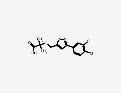 CC(C)(OCc1cc(-c2ccc(Cl)c(Cl)c2)no1)C(=O)O